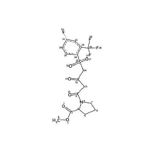 COC(=O)C1CCCN1C(=O)CC(=O)CS(=O)(=O)c1ccc(F)cc1C(F)(F)F